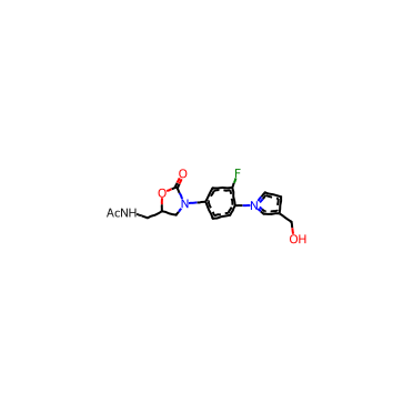 CC(=O)NCC1CN(c2ccc(-n3ccc(CO)c3)c(F)c2)C(=O)O1